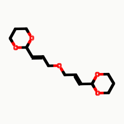 C(=CC1OCCCO1)COCC=CC1OCCCO1